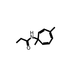 CCC(=O)NC1(C)C=CC=C(C)C=C1